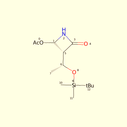 CC(=O)OC1NC(=O)[C@@H]1[C@@H](C)O[Si](C)(C)C(C)(C)C